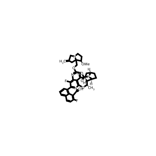 C#Cc1c(F)ccc2cccc(-c3nc4c5c(nc(OCC67CC(=C)CN6CC[C@H]7OC)nc5c3F)N3C[C@H]5CC[C@@H]([C@H]3[C@H](C)O4)N5C(=O)OC(C)(C)C)c12